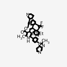 CCOC(=O)C1=C(c2ccc(-n3c(C)nc4cnccc43)cc2)NC(C)=C(C(=O)OCC#Cc2cccnc2)C1C=C1c2ccccc2C2C(c3ccccc31)C2(F)F